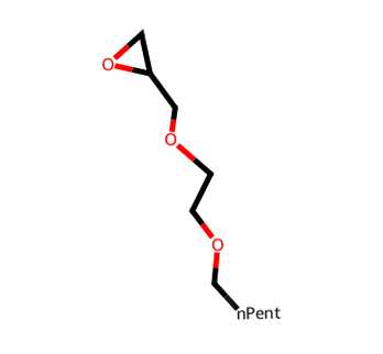 CCCCCCOCCOCC1CO1